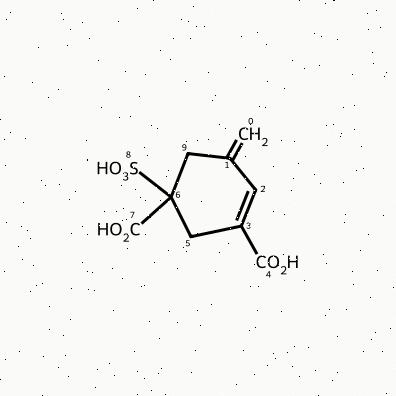 C=C1C=C(C(=O)O)CC(C(=O)O)(S(=O)(=O)O)C1